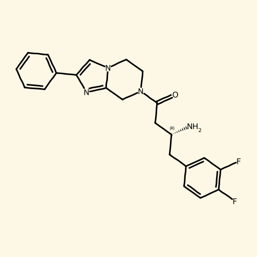 N[C@@H](CC(=O)N1CCn2cc(-c3ccccc3)nc2C1)Cc1ccc(F)c(F)c1